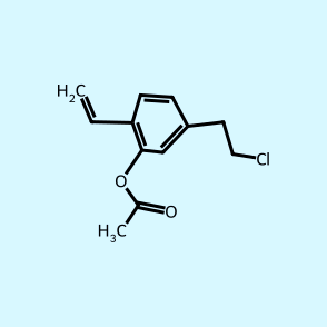 C=Cc1ccc(CCCl)cc1OC(C)=O